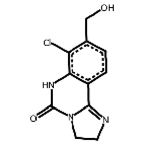 O=C1Nc2c(ccc(CO)c2Cl)C2=NCCN12